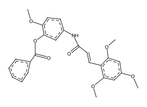 COc1cc(OC)c(C=CC(=O)Nc2ccc(OC)c(OC(=O)c3ccccc3)c2)c(OC)c1